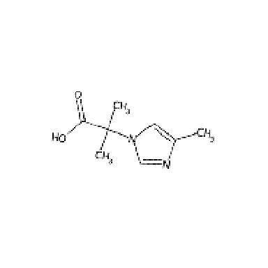 Cc1cn(C(C)(C)C(=O)O)cn1